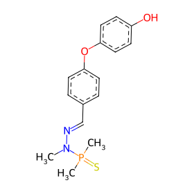 CN(N=Cc1ccc(Oc2ccc(O)cc2)cc1)P(C)(C)=S